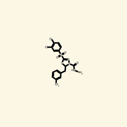 NNC(=O)N1N=C(S(=O)(=O)c2ccc(Cl)c(Cl)c2)SC1Cc1cccc(C(F)(F)F)c1